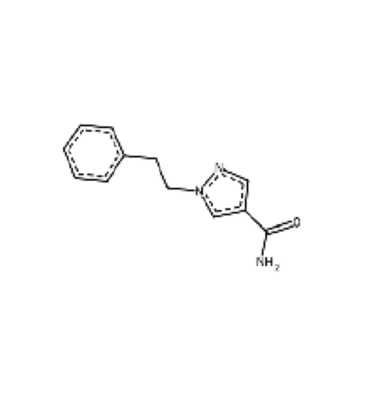 NC(=O)c1cnn(CCc2ccccc2)c1